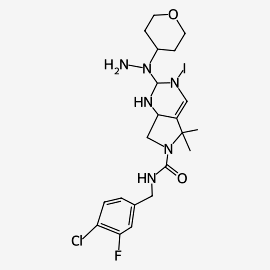 CC1(C)C2=CN(I)C(N(N)C3CCOCC3)NC2CN1C(=O)NCc1ccc(Cl)c(F)c1